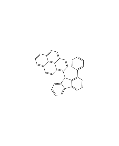 c1ccc(-c2cccc3c2C(c2ccc4ccc5cccc6ccc2c4c56)c2ccccc2-3)cc1